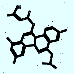 C/C(O)=C/C(C)OC1=Cc2c(C)cc(C)cc2C2C=C(CC(C)C)c3cc(C)ccc3N12